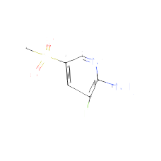 CS(=O)(=O)c1cnc(N)c(F)c1